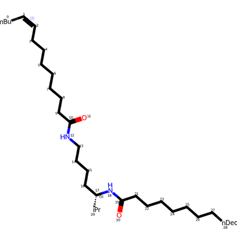 CCCC/C=C\CCCCCCCC(=O)NCCCC[C@H](NC(=O)CCCCCCCCCCCCCCCCC)C(C)C